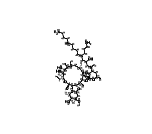 CC[C@H]1OC(=O)[C@H](C)[C@@H](O[C@H]2C[C@@](C)(OC)[C@@H](O)[C@H](C)O2)[C@H](C)[C@@H](O[C@@H]2O[C@H](C)CC(N(C)CC(O)CN(CCCN)CCCCNCCCN)[C@H]2O)[C@](C)(O)C[C@@H](C)CN(C)[C@H](C)[C@@H](O)[C@]1(C)O